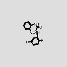 O=C(Nc1ccccc1C(=O)O)SCc1cc(F)ccc1F